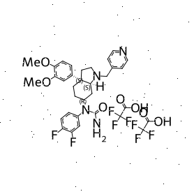 COc1ccc([C@@]23CC[C@@H](N(C(N)=O)c4ccc(F)c(F)c4)C[C@@H]2N(Cc2ccncc2)CC3)cc1OC.O=C(O)C(F)(F)F.O=C(O)C(F)(F)F